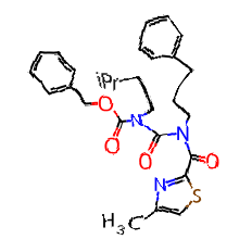 Cc1csc(C(=O)N(CCCc2ccccc2)C(=O)N(CCC(C)C)C(=O)OCc2ccccc2)n1